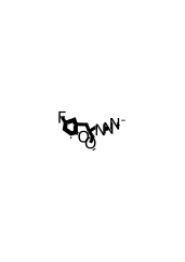 COCC1(CN=[N+]=[N-])Cc2cc(F)c[c]c2O1